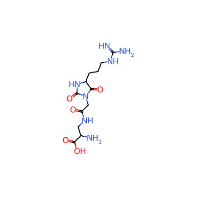 N=C(N)NCCCC1NC(=O)N(CC(=O)NCC(N)C(=O)O)C1=O